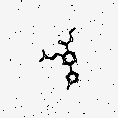 CCOC(=O)c1cnc(-c2cnn(C)c2)nc1C=CN(C)C